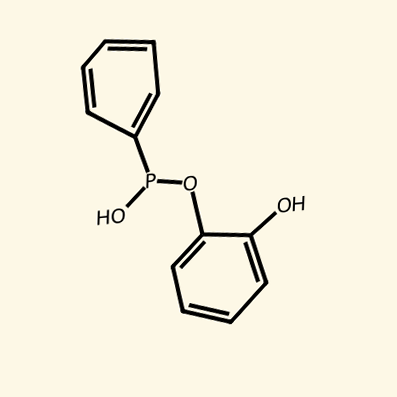 Oc1ccccc1OP(O)c1ccccc1